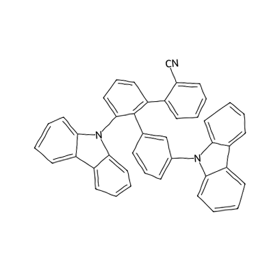 N#Cc1ccccc1-c1cccc(-n2c3ccccc3c3ccccc32)c1-c1cccc(-n2c3ccccc3c3ccccc32)c1